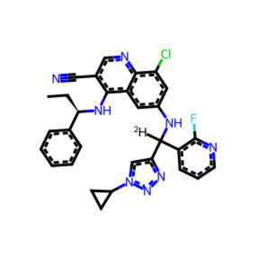 [2H]C(Nc1cc(Cl)c2ncc(C#N)c(N[C@H](CC)c3ccccc3)c2c1)(c1cn(C2CC2)nn1)c1cccnc1F